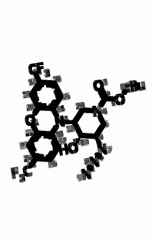 CC(C)(C)OC(=O)N1C[C@@H](N=[N+]=[N-])[C@H](O)[C@@H](N2c3ccc(C(F)(F)F)cc3Oc3cc(C(F)(F)F)ccc32)C1